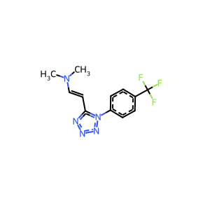 CN(C)C=Cc1nnnn1-c1ccc(C(F)(F)F)cc1